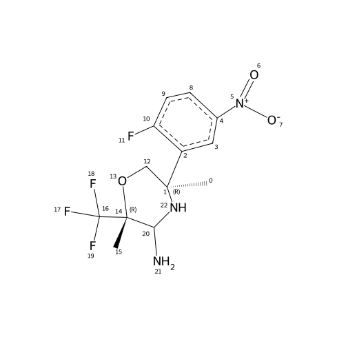 C[C@@]1(c2cc([N+](=O)[O-])ccc2F)CO[C@@](C)(C(F)(F)F)C(N)N1